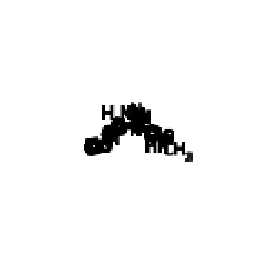 CNC(=O)C1CCC(c2nc(-c3ccc4ccc(Oc5ccccc5)nc4c3)c3c(N)ncnn23)CC1